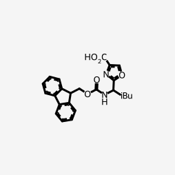 CCC(C)C(NC(=O)OCC1c2ccccc2-c2ccccc21)c1nc(C(=O)O)co1